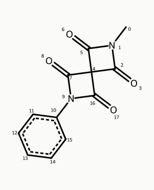 CN1C(=O)C2(C1=O)C(=O)N(c1ccccc1)C2=O